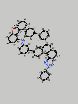 c1ccc(-c2cccc(N(c3cccc(-c4ccc5c(ccc6ccc7nn(-c8ccccc8)nc7c65)c4)c3)c3cccc4oc5ccccc5c34)c2)cc1